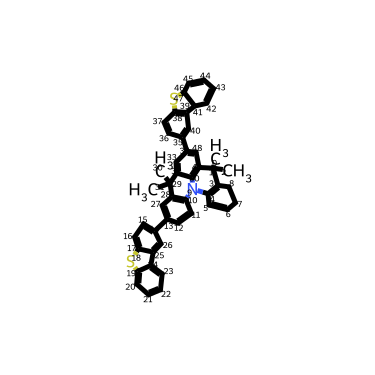 CC1(C)C2=C(C=CCC2)N2c3ccc(-c4ccc5sc6ccccc6c5c4)cc3C(C)(C)c3cc(-c4ccc5c(c4)C4C=CC=CC4S5)cc1c32